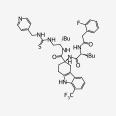 CCC(C)[C@H](NC(=O)Cc1ccccc1F)C(=O)N[C@]1(C(=O)N[C@H](CNC(=S)NCc2ccncc2)C(C)CC)CCc2[nH]c3c(C(F)(F)F)cccc3c2C1